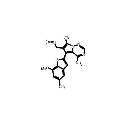 CCOCc1c(-c2cc3cc(C)cc(OC)c3s2)c2c(N)ncnn2c1C#N